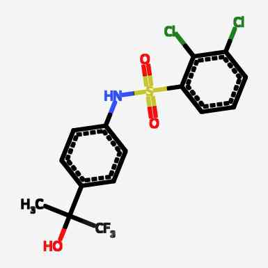 CC(O)(c1ccc(NS(=O)(=O)c2cccc(Cl)c2Cl)cc1)C(F)(F)F